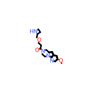 COc1cnc2c(c1)cc1n2CCN(C(=O)CCOCC2CCN2)C1